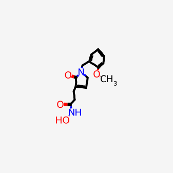 COc1ccccc1CN1CC=C(CCC(=O)NO)C1=O